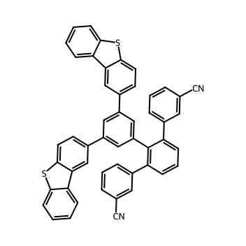 N#Cc1cccc(-c2cccc(-c3cccc(C#N)c3)c2-c2cc(-c3ccc4sc5ccccc5c4c3)cc(-c3ccc4sc5ccccc5c4c3)c2)c1